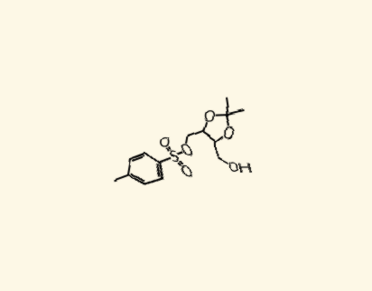 Cc1ccc(S(=O)(=O)OCC2OC(C)(C)OC2CO)cc1